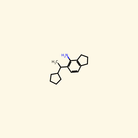 CC(c1ccc2c(c1N)CCC2)C1CCCC1